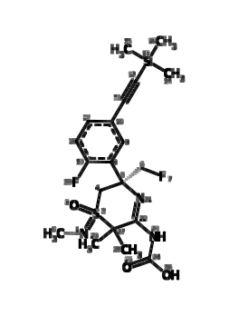 CN=S1(=O)C[C@@](CF)(c2cc(C#C[Si](C)(C)C)ccc2F)N=C(NC(=O)O)C1(C)C